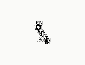 CC(C)(C)n1nnnc1CN1CCN(Cc2ccc(C#N)cc2)CC1